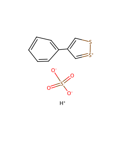 O=S(=O)([O-])[O-].[H+].c1ccc(-c2cs[s+]c2)cc1